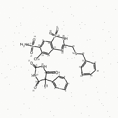 CCC1(c2ccccc2)C(=O)NC(=O)NC1=O.NS(=O)(=O)c1cc2c(cc1Cl)N=C(CSCc1ccccc1)NS2(=O)=O